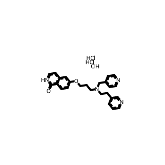 Cl.Cl.Cl.O=c1[nH]ccc2cc(OCCCN(CCc3cccnc3)Cc3ccncc3)ccc12